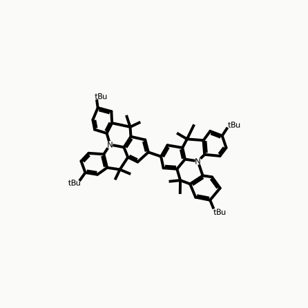 CC(C)(C)c1ccc2c(c1)C(C)(C)c1cc(-c3cc4c5c(c3)C(C)(C)c3cc(C(C)(C)C)ccc3N5c3ccc(C(C)(C)C)cc3C4(C)C)cc3c1N2c1ccc(C(C)(C)C)cc1C3(C)C